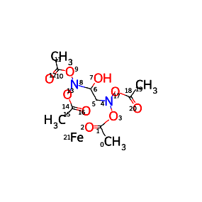 CC(=O)ON(CC(O)N(OC(C)=O)OC(C)=O)OC(C)=O.[Fe]